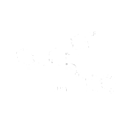 Cl.Fc1ccc([C@H]2CCN(Cc3ccccc3)C[C@@H]2COc2ccc3c(c2)OCO3)cc1